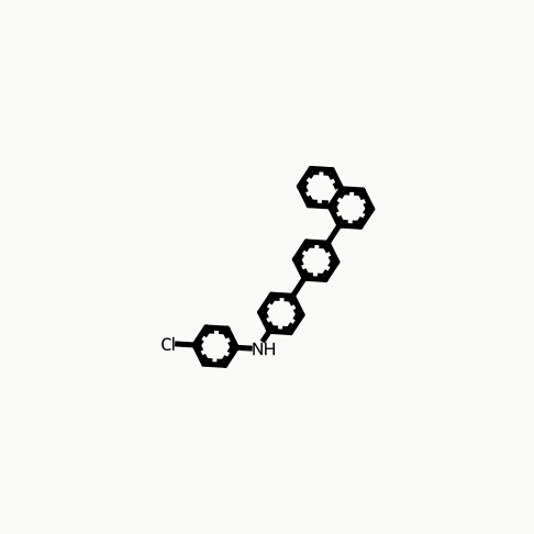 Clc1ccc(Nc2ccc(-c3ccc(-c4cccc5ccccc45)cc3)cc2)cc1